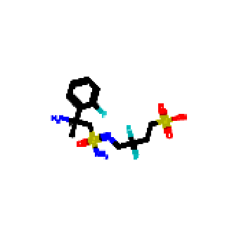 C[C@](N)(CS(N)(=O)=NCC(F)(F)CCS(=O)(=O)O)c1ccccc1F